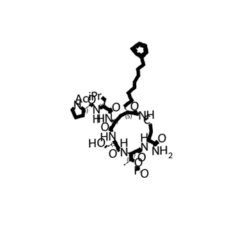 CC(=O)N1CCC[C@H]1C(=O)N[C@@H](CC(C)C)C(=O)N[C@H]1C[C@H](CCCCCCCCc2ccccc2)C(=O)NCCCC(C(N)=O)NC(=O)[C@H]([C@@H](C)OP=O)NC(=O)[C@H](CO)NC1=O